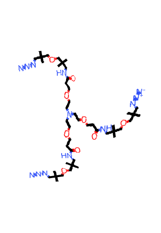 CC(C)(CN=[N+]=[N-])COCC(C)(C)CNC(=O)CCOCCN(CCOCCC(=O)NCC(C)(C)COCC(C)(C)CN=[N+]=[N-])CCOCCC(=O)NCC(C)(C)COCC(C)(C)CN=[N+]=[N-]